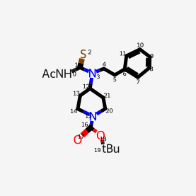 CC(=O)NC(=S)N(CCc1ccccc1)C1CCN(C(=O)OC(C)(C)C)CC1